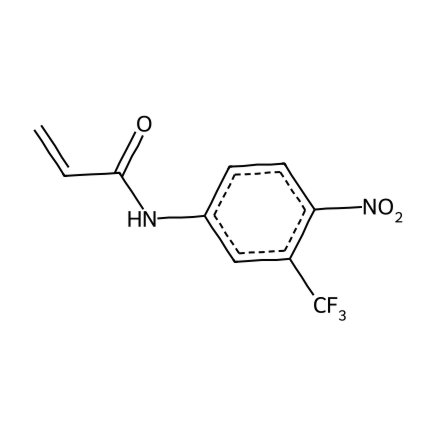 C=CC(=O)Nc1ccc([N+](=O)[O-])c(C(F)(F)F)c1